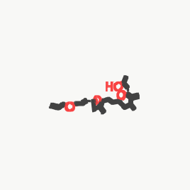 C=CCOC/C=C/[C@H]1CC(=C)C(CCC2CC(C)C(=C)[C@@H](CC(C)O)O2)O1